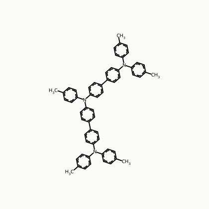 Cc1ccc(N(c2ccc(C)cc2)c2ccc(-c3ccc(N(c4ccc(C)cc4)c4ccc(-c5ccc(N(c6ccc(C)cc6)c6ccc(C)cc6)cc5)cc4)cc3)cc2)cc1